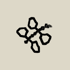 O=P([O-])(C1CCCCC1)C1CCCCC1.O=P([O-])(C1CCCCC1)C1CCCCC1.[Co+2]